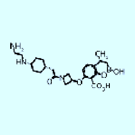 C[C@H]1CB(O)Oc2c1ccc(OC1CN(C(=O)C[C@H]3CC[C@@H](NCCN)CC3)C1)c2C(=O)O